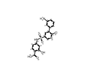 Nc1cccc(-c2cc(S(=O)(=O)Nc3ccc(C(=O)O)c(O)c3)cnc2Cl)c1